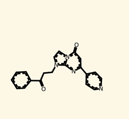 O=C(CCn1ccn2c(=O)cc(-c3ccncc3)nc12)c1ccccc1